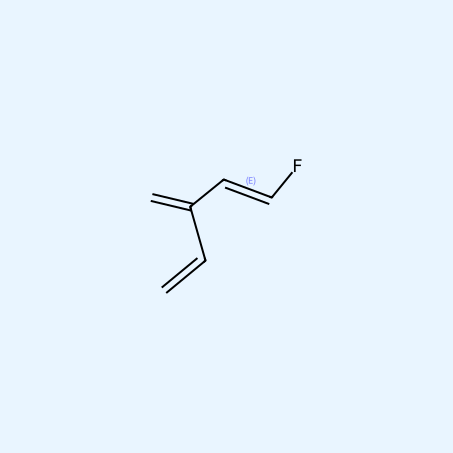 C=CC(=C)/C=C/F